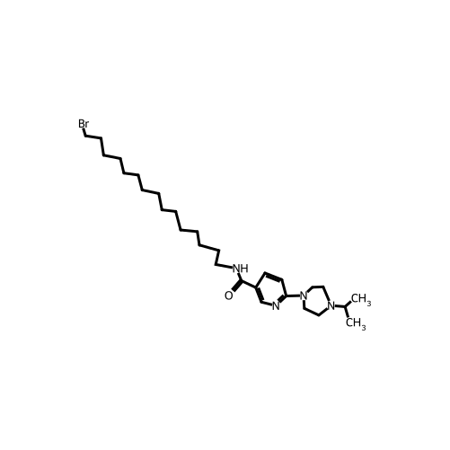 CC(C)N1CCN(c2ccc(C(=O)NCCCCCCCCCCCCCCCBr)cn2)CC1